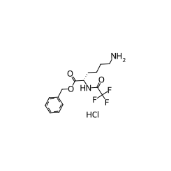 Cl.NCCCC[C@H](NC(=O)C(F)(F)F)C(=O)OCc1ccccc1